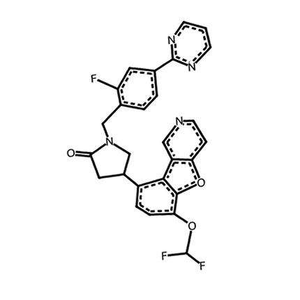 O=C1CC(c2ccc(OC(F)F)c3oc4ccncc4c23)CN1Cc1ccc(-c2ncccn2)cc1F